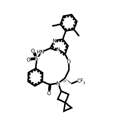 Cc1cccc(C)c1-c1cc2nc(n1)NS(=O)(=O)c1cccc(c1)C(=O)N(C1CC3(CC3)C1)[C@@H](CC(F)(F)F)CO2